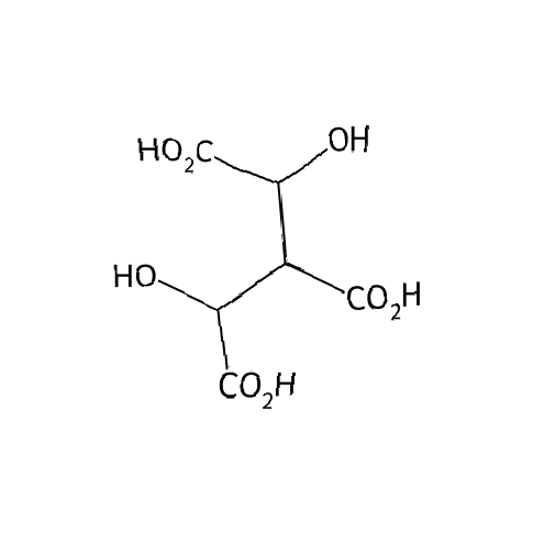 O=C(O)C(O)C(C(=O)O)C(O)C(=O)O